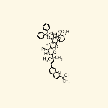 CC(C)C(NC(=O)C(C)(C)C=Cc1ccc2ccc([C@@H](C)O)nc2c1)C(=O)N[C@H](C(=O)N1CCCC(C(=O)O)N1)[C@@H](C)O[Si](c1ccccc1)(c1ccccc1)C(C)(C)C